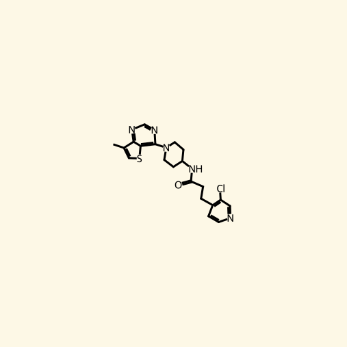 Cc1csc2c(N3CCC(NC(=O)CCc4ccncc4Cl)CC3)ncnc12